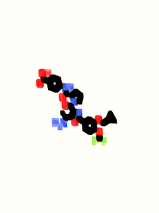 C[C@H](N)c1oc(-c2ccc(OC(F)F)c(OCC3CC3)c2)nc1C(=O)N1CCC[C@H]1C(=O)Nc1ccc(C(=O)O)cc1